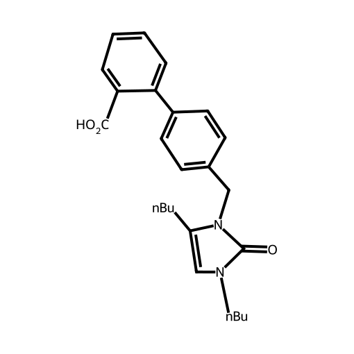 CCCCc1cn(CCCC)c(=O)n1Cc1ccc(-c2ccccc2C(=O)O)cc1